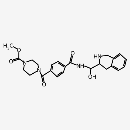 COC(=O)N1CCN(C(=O)c2ccc(C(=O)NCC(O)C3Cc4ccccc4CN3)cc2)CC1